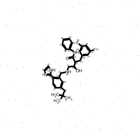 CC(C)(C)Cc1ccc(-c2ncc[nH]2)c(CNCC(O)C(Cc2cc(F)cc(F)c2)C(=O)Nc2ccccc2)c1